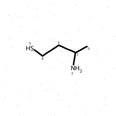 CC(N)CCS